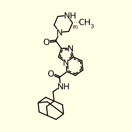 C[C@@H]1CN(C(=O)c2cn3c(C(=O)NCC45CC6CC(CC(C6)C4)C5)cccc3n2)CCN1